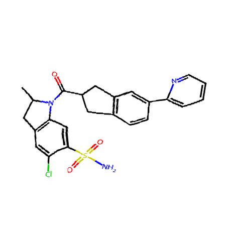 CC1Cc2cc(Cl)c(S(N)(=O)=O)cc2N1C(=O)C1Cc2ccc(-c3ccccn3)cc2C1